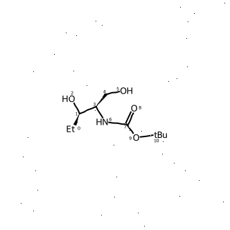 CC[C@@H](O)[C@@H](CO)NC(=O)OC(C)(C)C